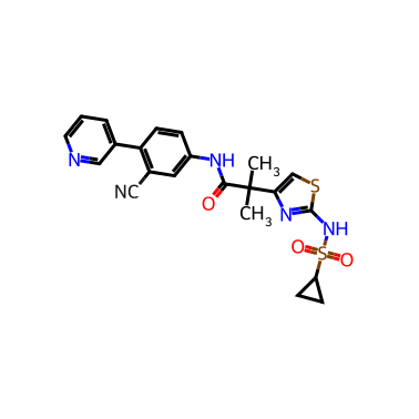 CC(C)(C(=O)Nc1ccc(-c2cccnc2)c(C#N)c1)c1csc(NS(=O)(=O)C2CC2)n1